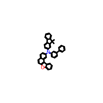 CC1(C)c2ccccc2-c2ccc(N(c3cccc(-c4ccccc4)c3)c3ccc4ccc5oc6ccccc6c5c4c3)cc21